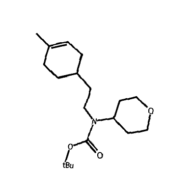 CC1=CCC(CCN(C(=O)OC(C)(C)C)C2CCOCC2)CC1